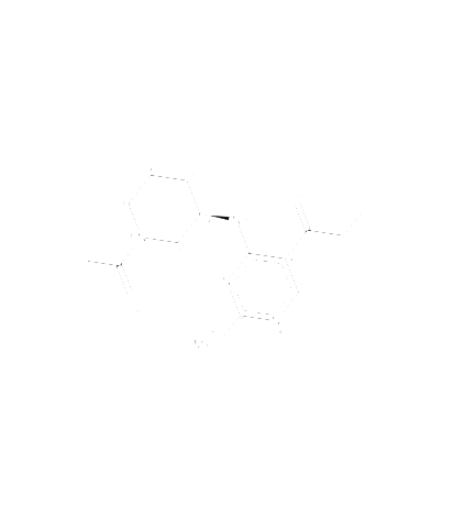 CCOC(=O)CC(=O)c1cnc(SC)nc1N[C@@H]1CCCN(C(=O)CC)C1